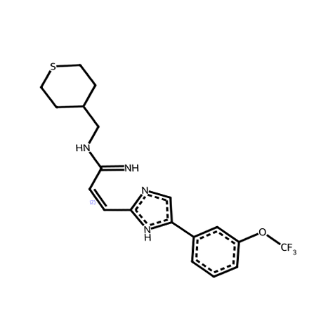 N=C(/C=C\c1ncc(-c2cccc(OC(F)(F)F)c2)[nH]1)NCC1CCSCC1